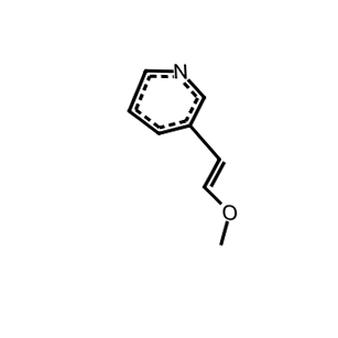 COC=Cc1cccnc1